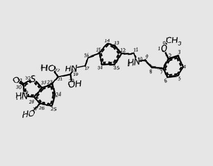 COc1ccccc1CCNCc1ccc(CCNC(O)C(O)c2ccc(O)c3[nH]c(=O)sc23)cc1